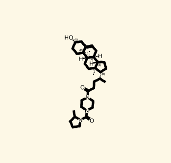 CC(CCC(=O)N1CCN(C(=O)N2CCCC2C)CC1)[C@H]1CC[C@H]2[C@@H]3CC=C4C[C@@H](O)CC[C@]4(C)[C@H]3CC[C@]12C